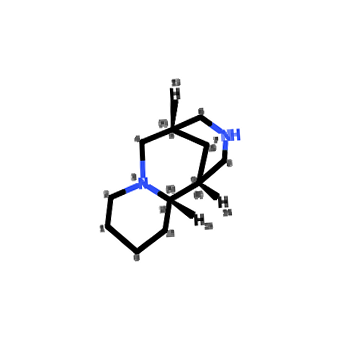 C1CCN2C[C@@H]3CNC[C@@H](C3)[C@@H]2C1